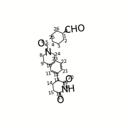 O=C[C@H]1CC[C@H](C(=O)N2CCc3cc(C4CCC(=O)NC4=O)ccc3C2)CC1